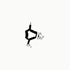 CC(=O)O.FC(F)(F)c1ccc(I)cc1